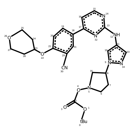 CC(C)(C)OC(=O)ON1CCC(n2cc(Nc3nccc(-c4ccc(OC5CCOCC5)c(C#N)c4)n3)cn2)C1